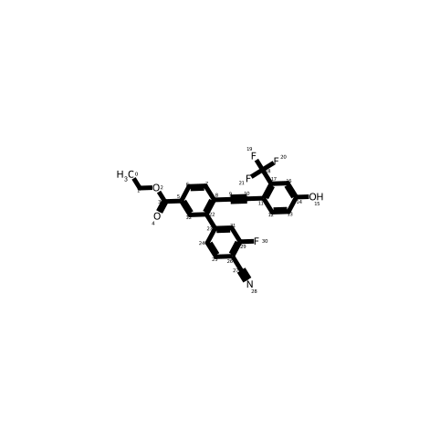 CCOC(=O)c1ccc(C#Cc2ccc(O)cc2C(F)(F)F)c(-c2ccc(C#N)c(F)c2)c1